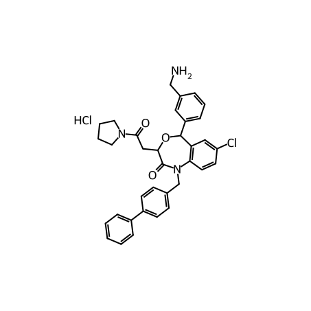 Cl.NCc1cccc(C2OC(CC(=O)N3CCCC3)C(=O)N(Cc3ccc(-c4ccccc4)cc3)c3ccc(Cl)cc32)c1